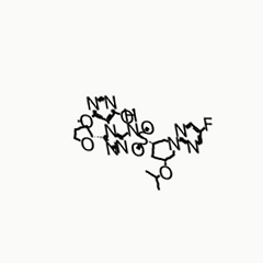 COc1ncnc(OC)c1-n1c(NS(=O)(=O)[C@H]2C[C@H](OC(C)C)CN(c3ncc(F)cn3)C2)nnc1[C@H]1CCCO1